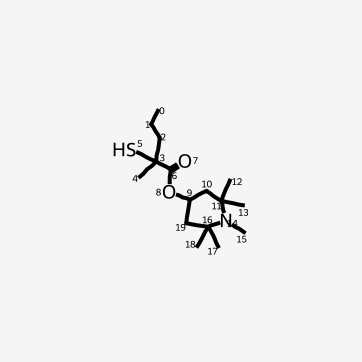 CCCC(C)(S)C(=O)OC1CC(C)(C)N(C)C(C)(C)C1